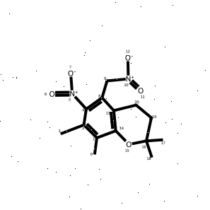 Cc1c(C)c([N+](=O)[O-])c(C[N+](=O)[O-])c2c1OC(C)(C)CC2